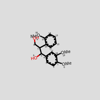 COc1ccc(C(O)C(CO)c2ccccc2OC)cc1OC